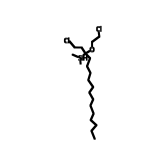 CCCCCCCCCCCCCC(CCCl)(OCCCl)[SiH](C)C